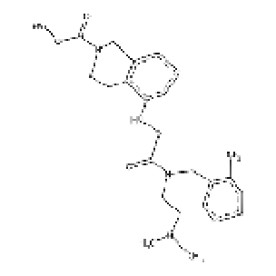 CN(C)CCN(Cc1ccccc1C(F)(F)F)C(=O)CNc1cccc2c1CCN(C(=O)OC(C)(C)C)C2